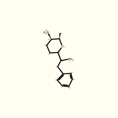 C[C@H]1OC(C(N)Cc2ccccc2)CC[C@H]1N